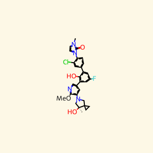 COc1ncc(-c2cc(F)cc(-c3ccc(-n4ccn(C)c4=O)c(Cl)c3)c2O)cc1N1CC2(CC2)[C@@](C)(O)C1